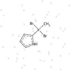 [CH3][Ir]([Br])([Br])[c]1ccc[nH]1